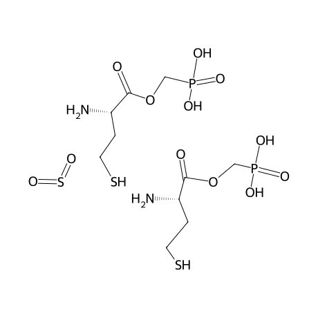 N[C@@H](CCS)C(=O)OCP(=O)(O)O.N[C@@H](CCS)C(=O)OCP(=O)(O)O.O=S=O